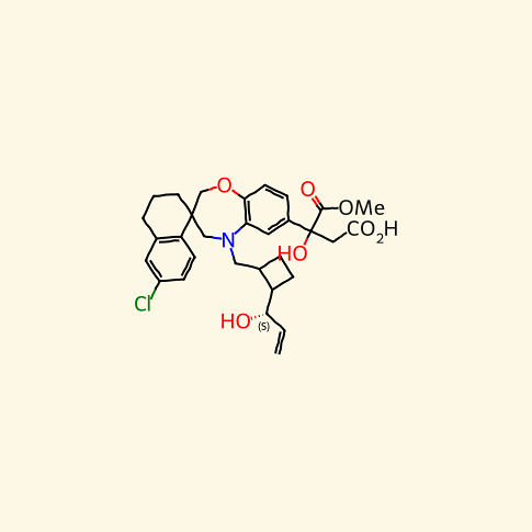 C=C[C@H](O)C1CCC1CN1CC2(CCCc3cc(Cl)ccc32)COc2ccc(C(O)(CC(=O)O)C(=O)OC)cc21